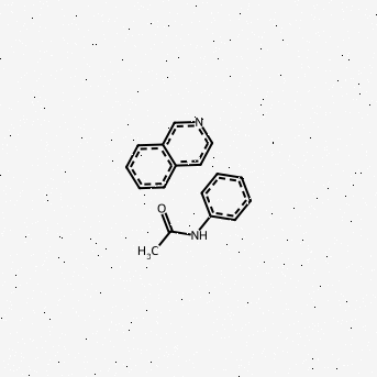 CC(=O)Nc1ccccc1.c1ccc2cnccc2c1